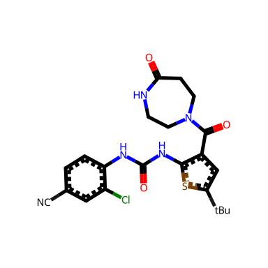 CC(C)(C)c1cc(C(=O)N2CCNC(=O)CC2)c(NC(=O)Nc2ccc(C#N)cc2Cl)s1